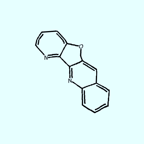 c1ccc2nc3c(cc2c1)oc1cccnc13